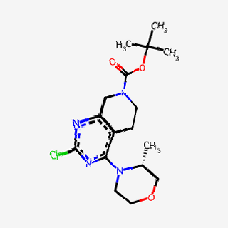 C[C@@H]1COCCN1c1nc(Cl)nc2c1CCN(C(=O)OC(C)(C)C)C2